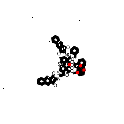 O=C(OCc1ccccc1)C1(C(=O)OCc2ccccc2)C(N=c2c(=O)c3cc4ccccc4cc3c2=O)=Cc2sc3c(c21)C(C(=O)OCc1ccccc1)(C(=O)OCc1ccccc1)c1cc(N=c2c(=O)c4cc5ccccc5cc4c2=O)sc1-3